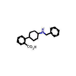 O=C(O)c1ccccc1C1CCC(NCc2ccccc2)CC1